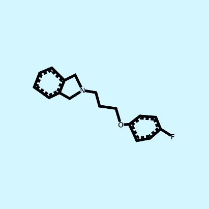 Fc1ccc(OCCCN2Cc3ccccc3C2)cc1